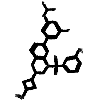 O=C(O)C1CC(C2CN(S(=O)(=O)c3cccc(C(F)(F)F)c3)c3cc(-c4cc(F)cc(OC(F)F)c4)ccc3O2)C1